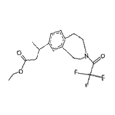 CCOC(=O)CC(C)c1ccc2c(c1)CN(C(=O)C(F)(F)F)CC2